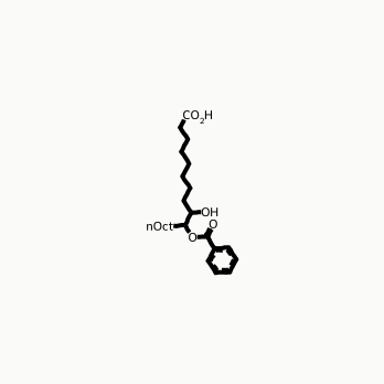 CCCCCCCCC(OC(=O)c1ccccc1)C(O)CCCCCCCC(=O)O